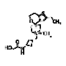 CCc1cc2c(s1)CCO[C@@]21CCN(C[C@H]2C[C@@H](NC(=O)CO)C2)[C@@H](C)C1